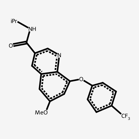 COc1cc(Oc2ccc(C(F)(F)F)cc2)c2ncc(C(=O)NC(C)C)cc2c1